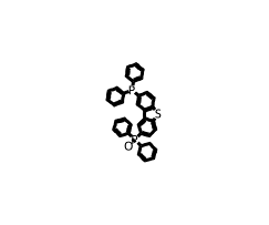 O=P(c1ccccc1)(c1ccc2sc3ccc(P(c4ccccc4)c4ccccc4)cc3c2c1)C1C=CC=CC1